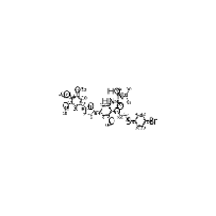 COc1cc(C2CCC(c3cc(OC)c(OC)c(OC)c3)O2)cc(NC(=O)N(O)C(C)C)c1OCCSc1ccc(Br)cc1